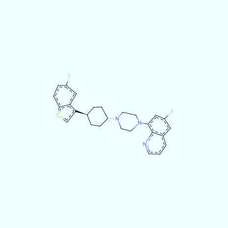 Fc1cc(N2CCN([C@H]3CC[C@H](c4csc5ccc(F)cc54)CC3)CC2)c2ncccc2c1